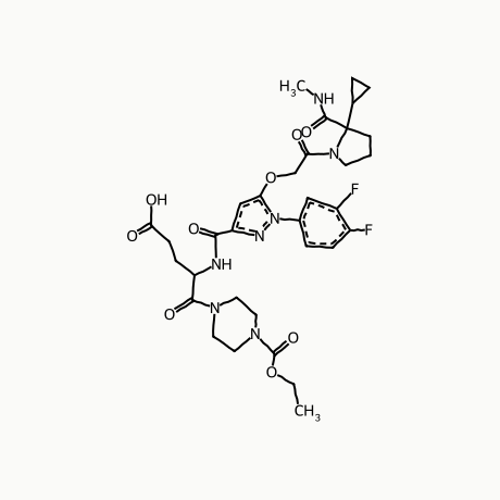 CCOC(=O)N1CCN(C(=O)C(CCC(=O)O)NC(=O)c2cc(OCC(=O)N3CCCC3(C(=O)NC)C3CC3)n(-c3ccc(F)c(F)c3)n2)CC1